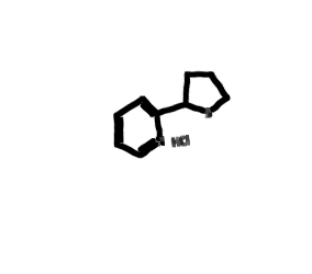 Cl.c1ccc(C2CCCS2)nc1